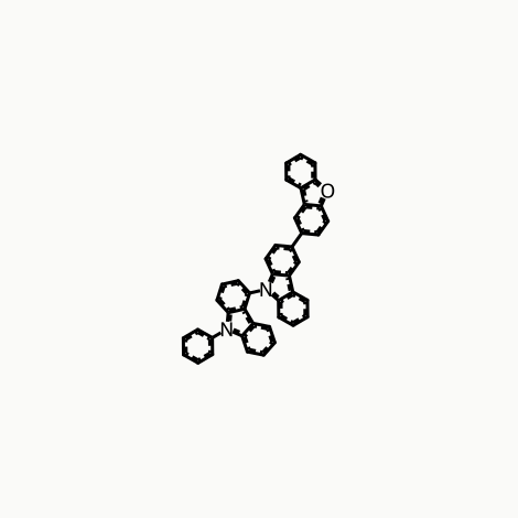 c1ccc(-n2c3ccccc3c3c(-n4c5ccccc5c5cc(-c6ccc7oc8ccccc8c7c6)ccc54)cccc32)cc1